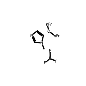 CCCOCCC.Cn1ccnc1.FB(F)F